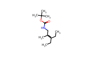 CCC(CC)=C(C)CNC(=O)OC(C)(C)C